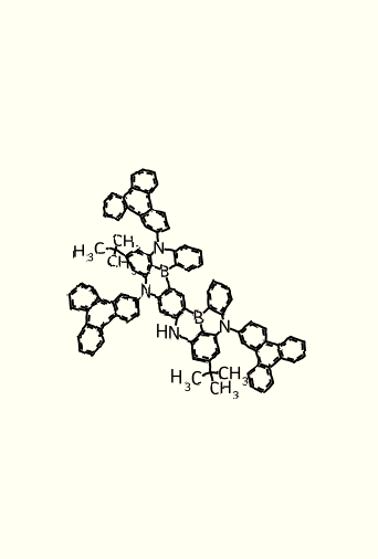 CC(C)(C)c1cc2c3c(c1)N(c1ccc4c5ccccc5c5ccccc5c4c1)c1ccccc1B3c1cc3c(cc1N2)N(c1ccc2c4ccccc4c4ccccc4c2c1)c1cc(C(C)(C)C)cc2c1B3c1ccccc1N2c1ccc2c3ccccc3c3ccccc3c2c1